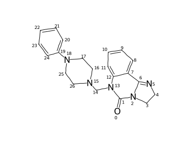 O=C1N2CCN=C2c2ccccc2N1CN1CCN(c2ccccc2)CC1